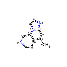 Cc1cc2nccn2c2cnccc12